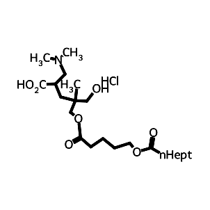 CCCCCCCC(=O)OCCCCC(=O)OCC(C)(CO)CC(CN(C)C)C(=O)O.Cl